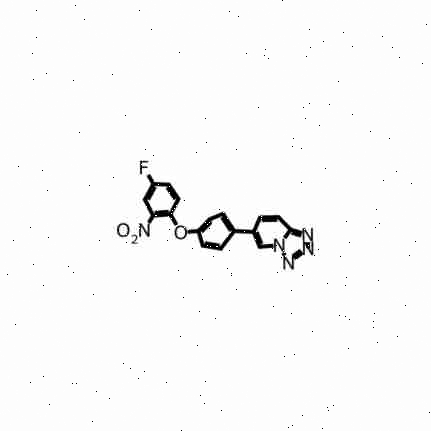 O=[N+]([O-])c1cc(F)ccc1Oc1ccc(-c2ccc3nnnn3c2)cc1